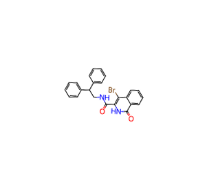 O=C(NCC(c1ccccc1)c1ccccc1)c1[nH]c(=O)c2ccccc2c1Br